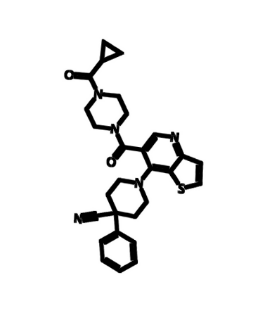 N#CC1(c2ccccc2)CCN(c2c(C(=O)N3CCN(C(=O)C4CC4)CC3)cnc3ccsc23)CC1